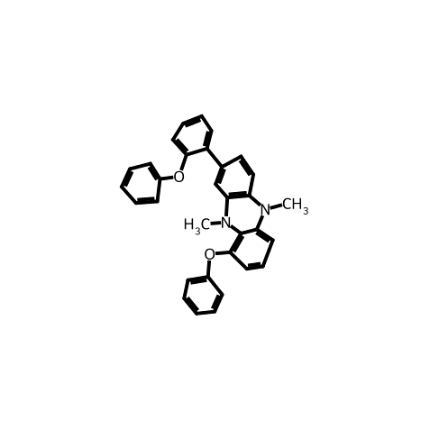 CN1c2ccc(-c3ccccc3Oc3ccccc3)cc2N(C)c2c(Oc3ccccc3)cccc21